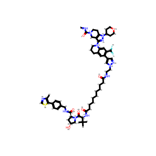 CNC(=O)N1CCc2c(c(N3CCCc4cc(-c5cnn(CCNC(=O)CCCCCCCCCC(=O)N[C@H](C(=O)N6C[C@H](O)C[C@H]6C(=O)NCc6ccc(-c7scnc7C)cc6)C(C)(C)C)c5)c(C(F)F)cc43)nn2C2CCOCC2)C1